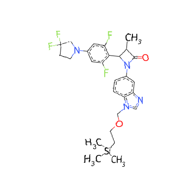 CC1C(=O)N(c2ccc3c(c2)ncn3COCC[Si](C)(C)C)C1c1c(F)cc(N2CCC(F)(F)C2)cc1F